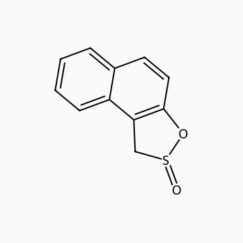 O=S1Cc2c(ccc3ccccc23)O1